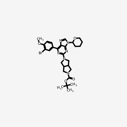 COc1ccc(-c2nc(N3CC4CN(C(=O)OC(C)(C)C)CC4C3)nc3c2ncn3C2CCCCO2)cc1Br